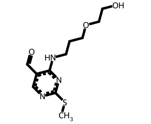 CSc1ncc(C=O)c(NCCCOCCO)n1